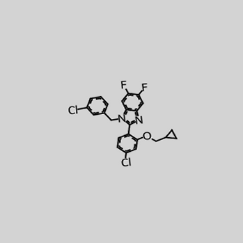 Fc1cc2nc(-c3ccc(Cl)cc3OCC3CC3)n(Cc3cccc(Cl)c3)c2cc1F